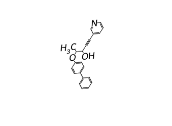 CC(Oc1ccc(-c2ccccc2)cc1)C(O)C#Cc1cccnc1